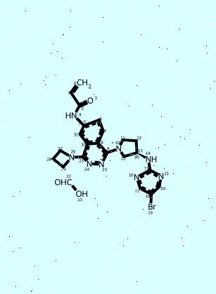 C=CC(=O)Nc1ccc2c(N3CC[C@@H](Nc4ncc(Br)cn4)C3)nnc(N3CCC3)c2c1.O=CO